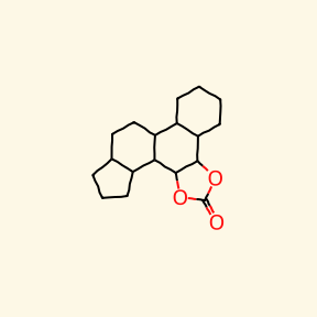 O=C1OC2C3CCCCC3C3CCC4CCCC4C3C2O1